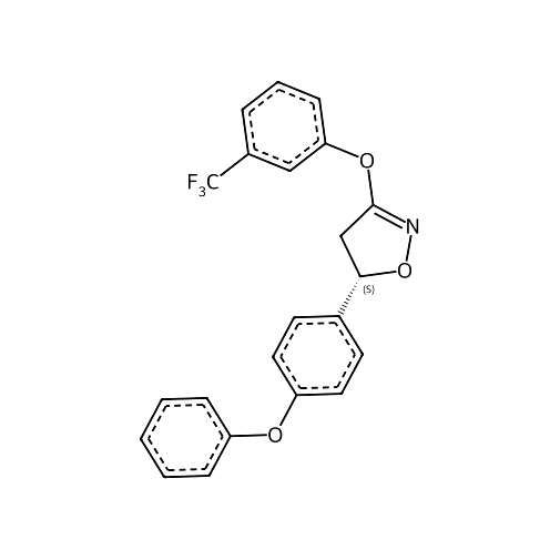 FC(F)(F)c1cccc(OC2=NO[C@H](c3ccc(Oc4ccccc4)cc3)C2)c1